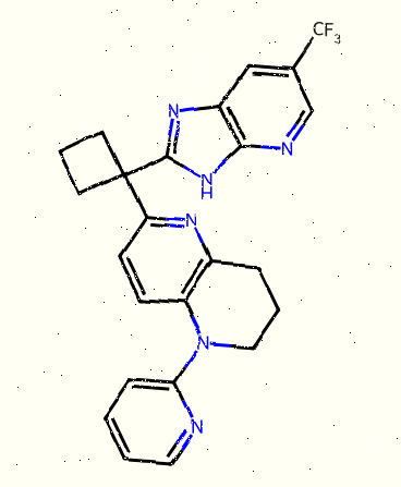 FC(F)(F)c1cnc2[nH]c(C3(c4ccc5c(n4)CCCN5c4ccccn4)CCC3)nc2c1